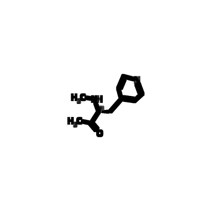 CN[C@H](Cc1ccncc1)C(C)=O